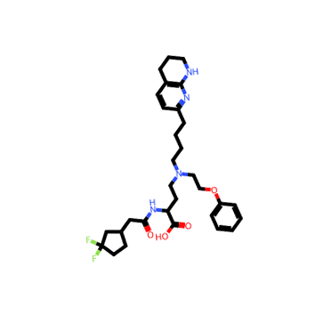 O=C(CC1CCC(F)(F)C1)NC(CCN(CCCCc1ccc2c(n1)NCCC2)CCOc1ccccc1)C(=O)O